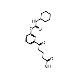 O=C(O)CCCC(=O)c1cccc(OC(=O)NC2CCCCC2)c1